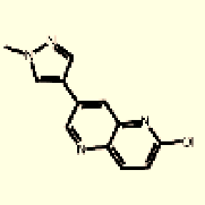 Cn1cc(-c2cnc3ccc(O)nc3c2)cn1